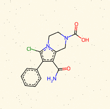 NC(=O)c1c(-c2ccccc2)c(Cl)n2c1CN(C(=O)O)CC2